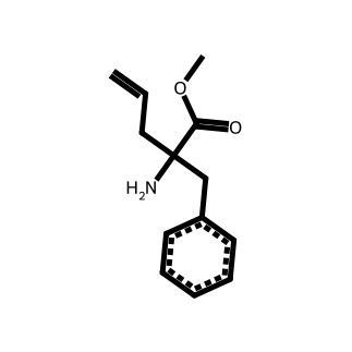 C=CCC(N)(Cc1ccccc1)C(=O)OC